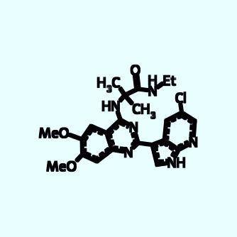 CCNC(=O)C(C)(C)Nc1nc(-c2c[nH]c3ncc(Cl)cc23)nc2cc(OC)c(OC)cc12